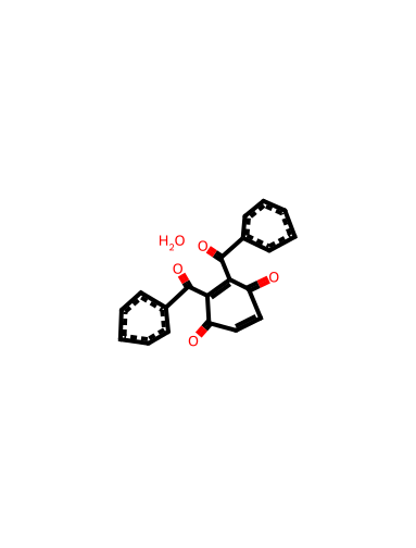 O.O=C1C=CC(=O)C(C(=O)c2ccccc2)=C1C(=O)c1ccccc1